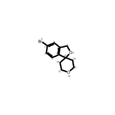 Brc1ccc2c(c1)COC21CCOCC1